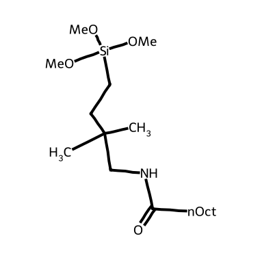 CCCCC[CH]CCC(=O)NCC(C)(C)CC[Si](OC)(OC)OC